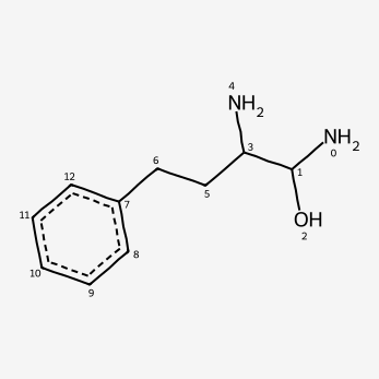 NC(O)C(N)CCc1ccccc1